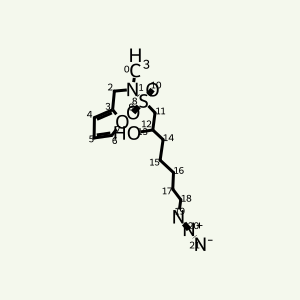 CN(Cc1ccco1)S(=O)(=O)CC(O)CCCCCN=[N+]=[N-]